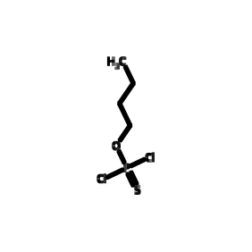 CCCCOP(=S)(Cl)Cl